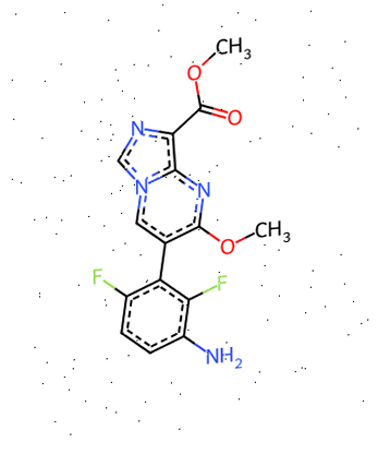 COC(=O)c1ncn2cc(-c3c(F)ccc(N)c3F)c(OC)nc12